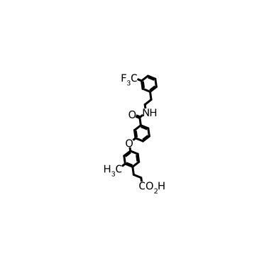 Cc1cc(Oc2cccc(C(=O)NCCc3cccc(C(F)(F)F)c3)c2)ccc1CCC(=O)O